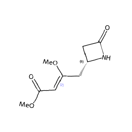 COC(=O)/C=C(/C[C@@H]1CC(=O)N1)OC